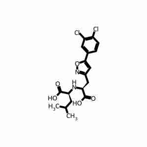 CC(C)C[C@H](N[C@@H](Cc1cc(-c2ccc(Cl)c(Cl)c2)on1)C(=O)O)C(=O)O